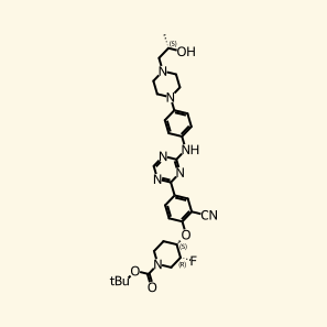 C[C@H](O)CN1CCN(c2ccc(Nc3ncnc(-c4ccc(O[C@H]5CCN(C(=O)OC(C)(C)C)C[C@H]5F)c(C#N)c4)n3)cc2)CC1